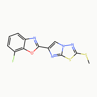 CSc1nn2cc(-c3nc4cccc(F)c4o3)nc2s1